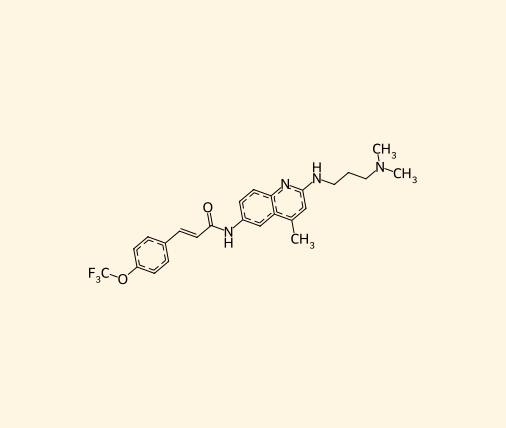 Cc1cc(NCCCN(C)C)nc2ccc(NC(=O)C=Cc3ccc(OC(F)(F)F)cc3)cc12